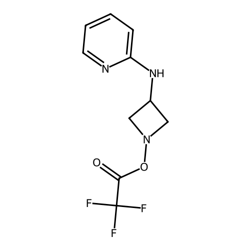 O=C(ON1CC(Nc2ccccn2)C1)C(F)(F)F